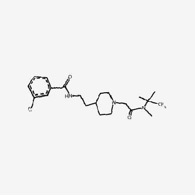 CN(C(=O)CN1CCC(CCNC(=O)c2cccc(Cl)c2)CC1)C(C)(C)C(F)(F)F